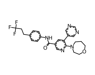 O=C(Nc1ccc(CCC(F)(F)F)cc1)c1cnc(N2CCCOCC2)c(-c2cncnc2)c1